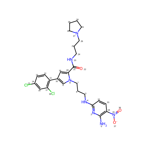 Nc1nc(NCCCn2cc(-c3ccc(Cl)cc3Cl)cc2C(=O)NCCCN2CCCC2)ccc1[N+](=O)[O-]